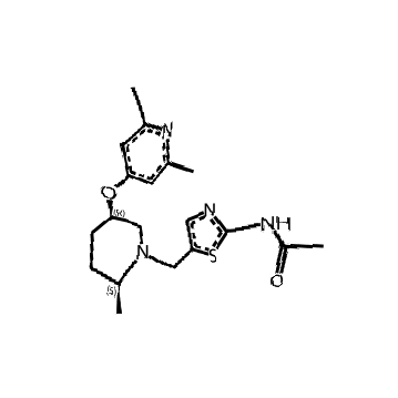 CC(=O)Nc1ncc(CN2C[C@H](Oc3cc(C)nc(C)c3)CC[C@@H]2C)s1